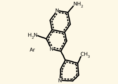 Cc1ccncc1-c1cc2cc(N)ncc2c(N)n1.[Ar]